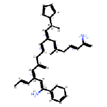 C=C(N)/C=C/C/C(C)=C/C(=C\[C@H](C)C1C=CC=C1)/C=C/CC(=C)/C=C(\C=C(/N)C1=CC=CCC1)/C=C/C